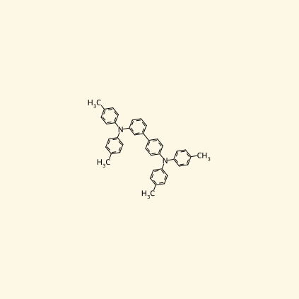 Cc1ccc(N(c2ccc(C)cc2)c2ccc(-c3cccc(N(c4ccc(C)cc4)c4ccc(C)cc4)c3)cc2)cc1